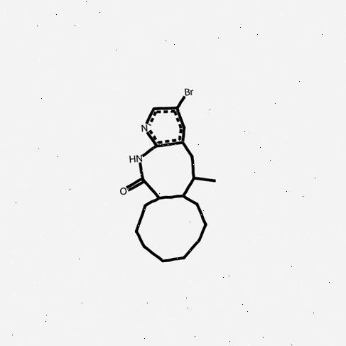 CC1Cc2cc(Br)cnc2NC(=O)C2CCCCCCCCC12